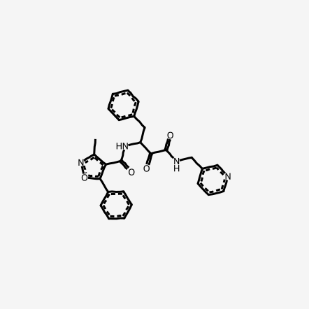 Cc1noc(-c2ccccc2)c1C(=O)NC(Cc1ccccc1)C(=O)C(=O)NCc1cccnc1